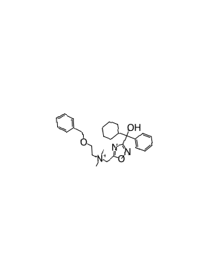 C[N+](C)(CCOCc1ccccc1)Cc1nc(C(O)(c2ccccc2)C2CCCCC2)no1